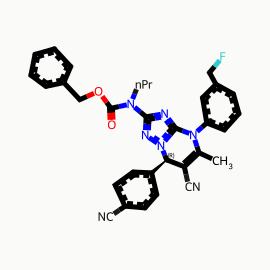 CCCN(C(=O)OCc1ccccc1)c1nc2n(n1)[C@H](c1ccc(C#N)cc1)C(C#N)=C(C)N2c1cccc(CF)c1